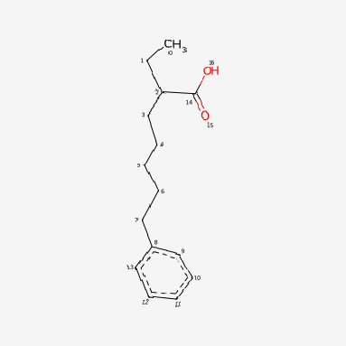 CCC(CCCCCc1ccccc1)C(=O)O